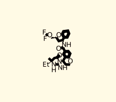 CC[C@]1(C)CC(=O)N([C@@H]2CCOc3ccc(C(=O)N[C@H]4C[C@@H](COC(F)F)Oc5ccccc54)cc32)C(=N)N1